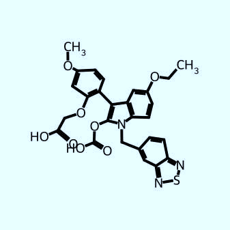 CCOc1ccc2c(c1)c(-c1ccc(OC)cc1OCC(=O)O)c(OC(=O)O)n2Cc1ccc2nsnc2c1